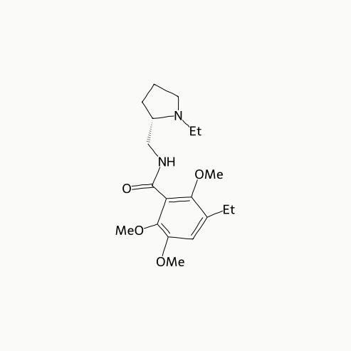 CCc1cc(OC)c(OC)c(C(=O)NC[C@@H]2CCCN2CC)c1OC